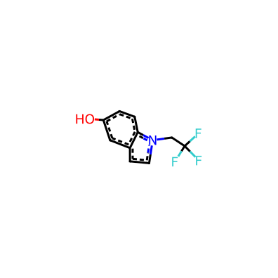 Oc1ccc2c(ccn2CC(F)(F)F)c1